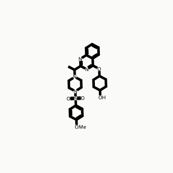 COc1ccc(S(=O)(=O)N2CCN(C(C)c3nc(OC4CCC(O)CC4)c4ccccc4n3)CC2)cc1